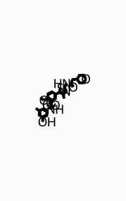 COc1ccc(-c2sc(NC(=O)CC3CCOCC3)nc2C)cc1S(=O)(=O)Nc1cc(C)cc(O)c1